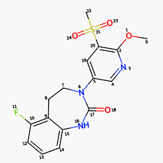 COc1ncc(N2CCc3c(F)cccc3NC2=O)cc1S(C)(=O)=O